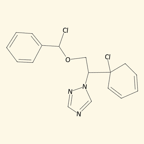 ClC(OCC(n1cncn1)C1(Cl)C=CC=CC1)c1ccccc1